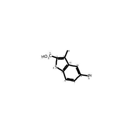 Cc1c(C(=O)O)sc2ccc(C(C)C)cc12